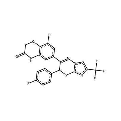 O=C1COc2c(Cl)cc(C3=Nn4cc(C(F)(F)F)nc4SC3c3ccc(F)cc3)cc2N1